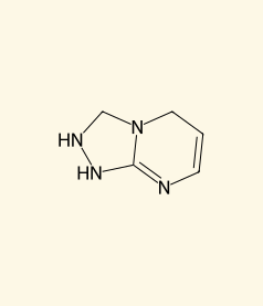 C1=CN=C2NNCN2C1